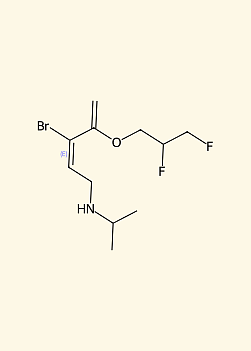 C=C(OCC(F)CF)/C(Br)=C\CNC(C)C